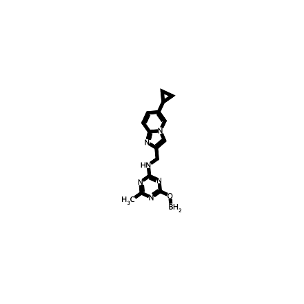 BOc1nc(C)nc(NCc2cn3cc(C4CC4)ccc3n2)n1